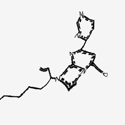 C=CC(CCCCC)n1ccn2c(=O)cc(-c3ccncn3)nc12